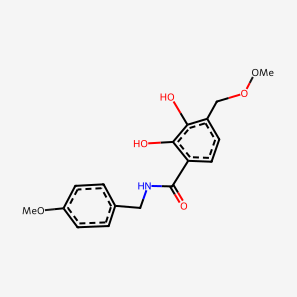 COOCc1ccc(C(=O)NCc2ccc(OC)cc2)c(O)c1O